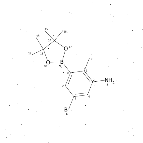 Cc1c(N)cc(Br)cc1B1OC(C)(C)C(C)(C)O1